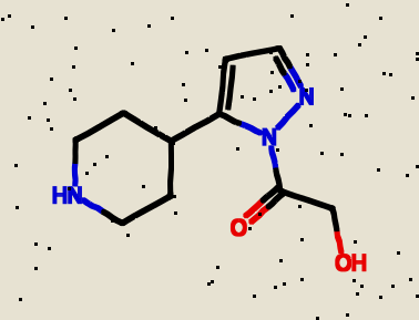 O=C(CO)n1nccc1C1CCNCC1